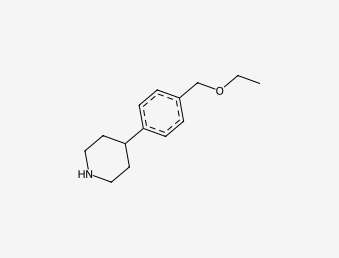 CCOCc1ccc(C2CCNCC2)cc1